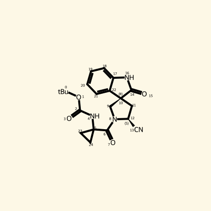 CC(C)(C)OC(=O)NC1(C(=O)N2C[C@]3(C[C@H]2C#N)C(=O)Nc2ccccc23)CC1